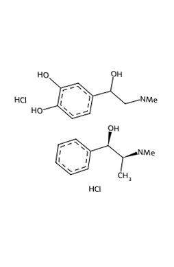 CNCC(O)c1ccc(O)c(O)c1.CN[C@@H](C)[C@H](O)c1ccccc1.Cl.Cl